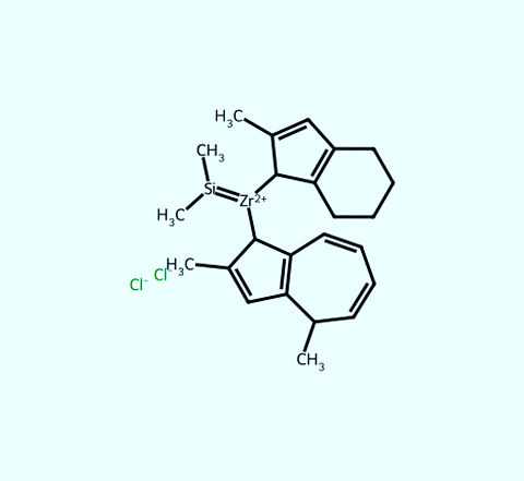 CC1=CC2=C(C=CC=CC2C)[CH]1[Zr+2]([CH]1C(C)=CC2=C1CCCC2)=[Si](C)C.[Cl-].[Cl-]